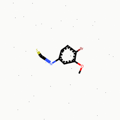 COc1cc(N=C=S)ccc1Br